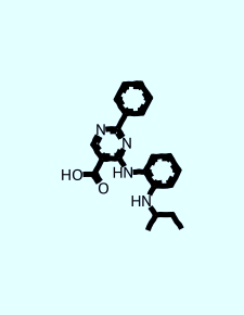 CCC(C)Nc1ccccc1Nc1nc(-c2ccccc2)ncc1C(=O)O